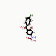 O=C(O)Nc1ccc(C(O)c2ccc(Cl)cc2)c(Br)c1